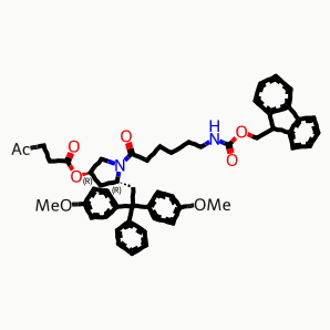 COc1ccc(C(C[C@@H]2C[C@@H](OC(=O)CCC(C)=O)CN2C(=O)CCCCCNC(=O)OCC2c3ccccc3-c3ccccc32)(c2ccccc2)c2ccc(OC)cc2)cc1